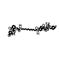 C[C@H](N(Cc1ccc(F)cc1)C(=O)CN1C(=O)O[C@@]2(CCc3cc(NC(=O)CCCCCCCCCCCNC(=O)COc4cccc5c4C(=O)N(C4CCC(=O)NC4=O)C5=O)ccc32)C1=O)C(F)(F)F